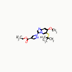 CCOC(=O)c1cnn(-c2cnc3cc(OC)c(SC(C)(C)C)cn23)c1